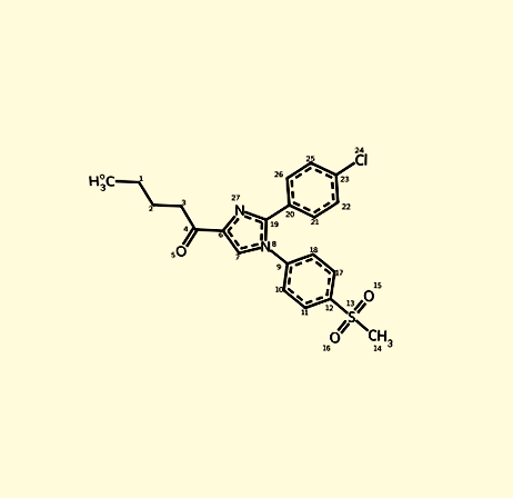 CCCCC(=O)c1cn(-c2ccc(S(C)(=O)=O)cc2)c(-c2ccc(Cl)cc2)n1